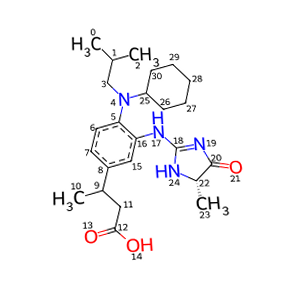 CC(C)CN(c1ccc(C(C)CC(=O)O)cc1NC1=NC(=O)[C@H](C)N1)C1CCCCC1